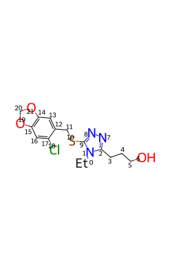 CCn1c(CCCO)nnc1SCc1cc2c(cc1Cl)OCO2